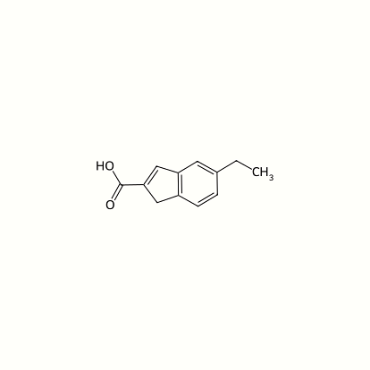 CCc1ccc2c(c1)C=C(C(=O)O)C2